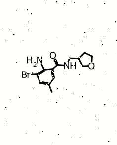 Cc1cc(Br)c(N)c(C(=O)NCC2CCOC2)c1